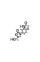 O=C1CSc2ccc(N3C[C@@H](CO)OC3=O)cc2N1